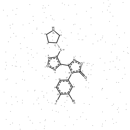 O=c1onc(-c2nonc2S[C@@H]2CCNC2)n1-c1ccc(F)c(Br)c1